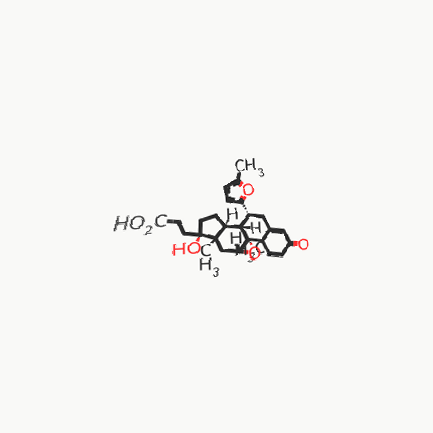 Cc1ccc([C@@H]2CC3=CC(=O)CC[C@]3(C)[C@@]34O[C@@H]3C[C@@]3(C)[C@@H](CC[C@@]3(O)CCC(=O)O)[C@H]24)o1